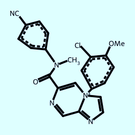 COc1ccc([N+]23C=CN=C2C=NC(C(=O)N(C)c2ccc(C#N)cc2)=C3)cc1Cl